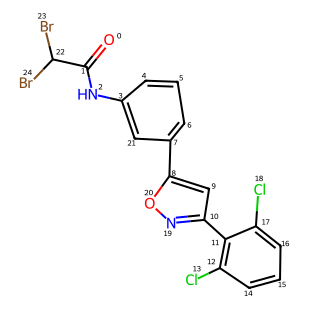 O=C(Nc1cccc(-c2cc(-c3c(Cl)cccc3Cl)no2)c1)C(Br)Br